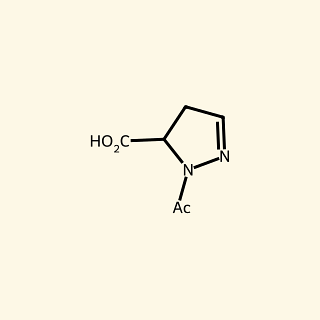 CC(=O)N1N=CCC1C(=O)O